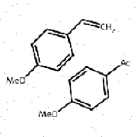 C=Cc1ccc(OC)cc1.COc1ccc(C(C)=O)cc1